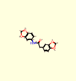 O=C(Cc1ccc2c(c1)OCO2)Nc1ccc2c(c1)OCO2